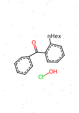 CCCCCCc1ccccc1C(=O)c1ccccc1.OCl